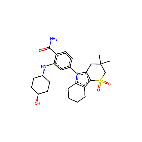 CC1(C)Cc2c(c3c(n2-c2ccc(C(N)=O)c(N[C@H]4CC[C@H](O)CC4)c2)CCCC3)S(=O)(=O)C1